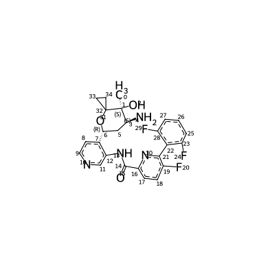 C[C@]1(O)[C@@H](N)C[C@H](c2ccncc2NC(=O)c2ccc(F)c(-c3c(F)cccc3F)n2)OC12CC2